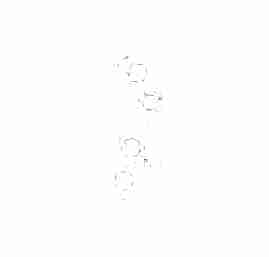 CCc1nc(SCc2nc(-c3ccc4c(c3)OCO4)no2)nc(N)c1-c1ccc(Cl)cc1